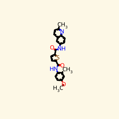 COc1ccc(NC(=O)c2ccc(C(=O)Nc3ccc4nc(C)ccc4c3)s2)c(C)c1